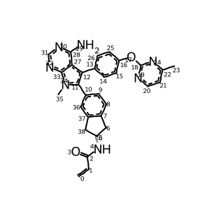 C=CC(=O)N[C@H]1Cc2ccc(-c3c(-c4ccc(Oc5nccc(C)n5)cc4)c4c(N)ncnc4n3C)cc2C1